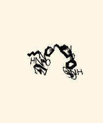 CCCCCN(C(=O)Nc1cnn(C)c1)C1CCN(Cc2ccc(Oc3ccc(NS(C)(=O)=O)cc3)nc2)CC1